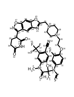 CN(C(=O)C(C)(C)N(C=S)c1ccc(OCCN2CCN(Cc3nc4cc5c(C6CCC(=O)NC6=O)noc5cc4o3)CC2)c(F)c1)c1ccc(C#N)c(C(F)(F)F)c1